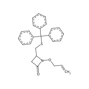 C=CCON1C(=O)CC1CSC(c1ccccc1)(c1ccccc1)c1ccccc1